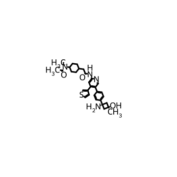 CC(=O)N(C)C1CCC(CC(=O)Nc2cc(-c3ccsc3)c(-c3ccc([C@]4(N)C[C@](C)(O)C4)cc3)cn2)CC1